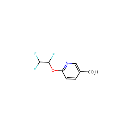 O=C(O)c1ccc(OC(F)C(F)F)nc1